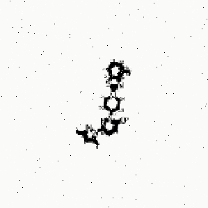 Cc1cc(C)n(-c2ccc(=O)n(C3CCN(c4nc5c(F)cccc5s4)CC3)n2)n1